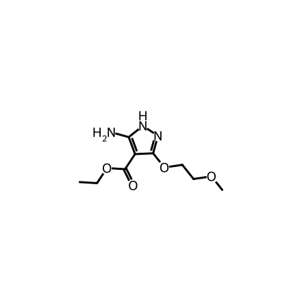 CCOC(=O)c1c(OCCOC)n[nH]c1N